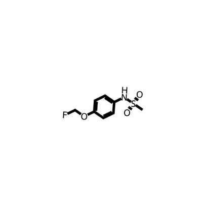 CS(=O)(=O)Nc1ccc(OCF)cc1